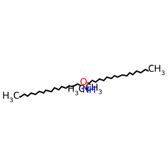 CCCCCCCCCCCCCCCCCCOCCCCCCCCCCCCCCCCCC.CNC